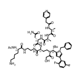 CC(=O)N[C@@H](CCCCN)C(=O)NCCNC(=O)[C@H](CCN(C(=O)CO)[C@@H](c1cc(-c2cc(F)ccc2F)cn1Cc1ccccc1)C(C)(C)C)NC(=O)[C@H](CC(N)=O)NC(=O)[C@H](C)NC(=O)[C@H](C)NC(=O)Cc1ccncc1